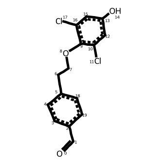 O=Cc1ccc(CCOc2c(Cl)cc(O)cc2Cl)cc1